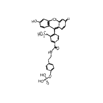 O=C(NCCc1ccc(OP(=O)(O)O)cc1)c1ccc(-c2c3ccc(=O)cc-3oc3cc(O)ccc23)c(C(=O)O)c1